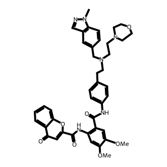 COc1cc(NC(=O)c2cc(=O)c3ccccc3o2)c(C(=O)Nc2ccc(CCN(CCN3CCOCC3)Cc3ccc4c(cnn4C)c3)cc2)cc1OC